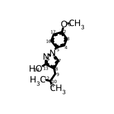 COc1ccc(-n2cc(CC(C)C)c(O)n2)cc1